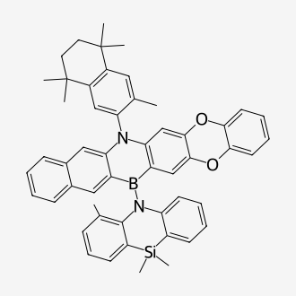 Cc1cc2c(cc1N1c3cc4c(cc3B(N3c5ccccc5[Si](C)(C)c5cccc(C)c53)c3cc5ccccc5cc31)Oc1ccccc1O4)C(C)(C)CCC2(C)C